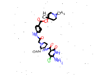 CO[C@@H]1CN(CC(=O)Nc2ccc(C(=O)OC3(C)CCN(C)CC3)cc2)CC[C@@H]1NC(=O)c1cc(Cl)c(N)[nH]c1=O